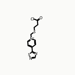 O=C(Cl)CCSC[n+]1ccc(-c2ncns2)cc1